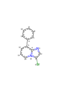 Brc1cnc2c(-c3ccccc3)cccn12